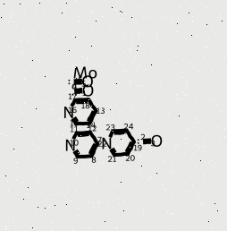 [C]=O.[C]=O.[C]=O.[Mo].c1ccncc1.c1ccncc1.c1ccncc1